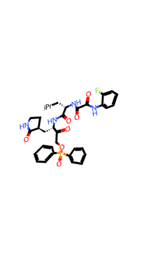 CC(C)C[C@H](NC(=O)C(=O)Nc1ccccc1F)C(=O)N[C@@H](C[C@@H]1CCNC1=O)C(=O)COP(=O)(c1ccccc1)c1ccccc1